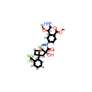 COC(=O)c1ccc(N(C)C(=O)C(O)(CC2(c3ccccc3C(F)(F)F)CCC2)C(F)(F)F)cc1C(C=N)OC